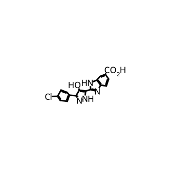 O=C(O)c1ccc2nc(-c3[nH]nc(-c4ccc(Cl)cc4)c3O)[nH]c2c1